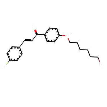 O=C(C=Cc1ccc(F)cc1)c1ccc(OCCCCCCBr)cc1